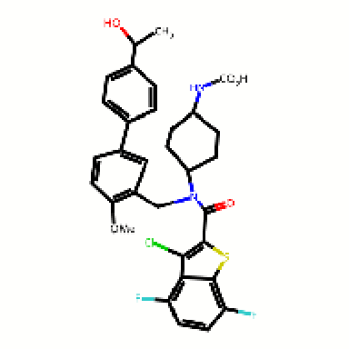 COc1ccc(-c2ccc(C(C)O)cc2)cc1CN(C(=O)c1sc2c(F)ccc(F)c2c1Cl)C1CCC(NC(=O)O)CC1